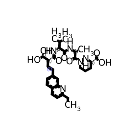 CCc1ccc2ccc(/C=C/[C@@H](C(=O)N[C@H](C(=O)N[C@@H](C)C(=O)N3CCC[C@@H](C(=O)O)N3)C(C)C)[C@H](C)O)cc2n1